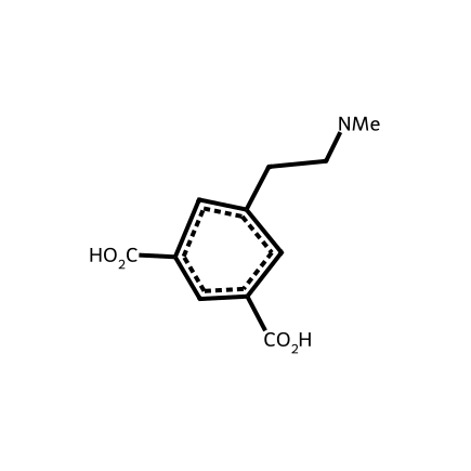 CNCCc1cc(C(=O)O)cc(C(=O)O)c1